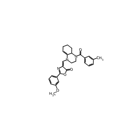 COc1cccc(C2=NC(=CN3CCN(C(=O)c4cccc(C)c4)C4CCCC=C43)C(=O)O2)c1